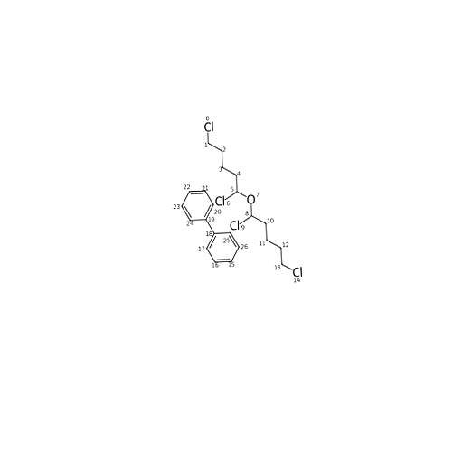 ClCCCCC(Cl)OC(Cl)CCCCCl.c1ccc(-c2ccccc2)cc1